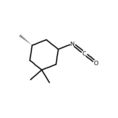 C[C@@H]1CC(N=C=O)CC(C)(C)C1